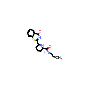 CCCNC(=O)c1cccc(-c2nc(=O)c3ccccc3s2)n1